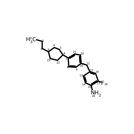 CCCC1CCC(c2ccc(Cc3ccc(N)c(F)c3)cc2)CC1